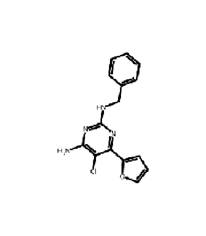 Nc1nc(NCc2ccccc2)nc(-c2ccco2)c1Cl